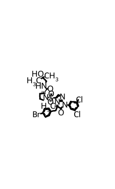 CC(C)(O)CNC(=O)[C@@H]1CCCN1S(=O)(=O)c1cnc2n1[C@](C)(Cc1ccc(Br)cc1)C(=O)N2c1cc(Cl)cc(Cl)c1